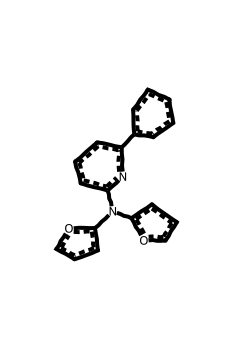 c1ccc(-c2cccc(N(c3ccco3)c3ccco3)n2)cc1